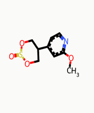 COc1cc(C2COS(=O)OC2)ccn1